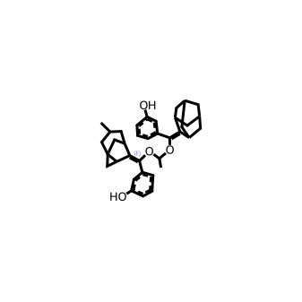 CC1CC2CC3(C1)CC3/C2=C(/OC(C)OC(=C1C2CC3CC(C2)CC1C3)c1cccc(O)c1)c1cccc(O)c1